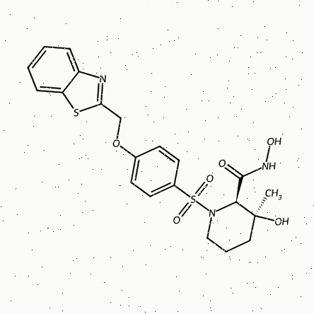 C[C@]1(O)CCCN(S(=O)(=O)c2ccc(OCc3nc4ccccc4s3)cc2)[C@H]1C(=O)NO